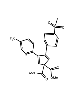 COC(=O)C1(C(=O)OC)C=C(c2ccc(S(C)(=O)=O)cc2)C(c2ccc(C(F)(F)F)cn2)=C1